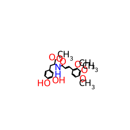 COC(=O)C(Cc1ccc(O)c(O)c1)NC(=O)C=Cc1ccc(OC)c(OC)c1OC